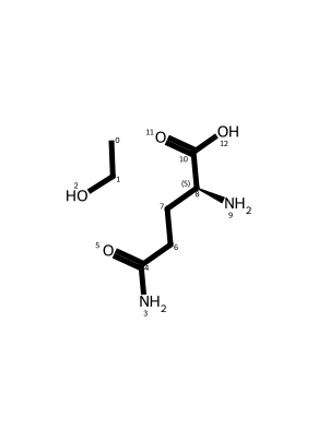 CCO.NC(=O)CC[C@H](N)C(=O)O